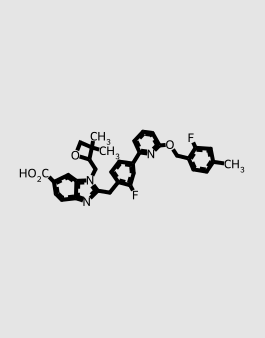 Cc1ccc(COc2cccc(-c3ccc(Cc4nc5ccc(C(=O)O)cc5n4CC4OCC4(C)C)c(F)c3)n2)c(F)c1